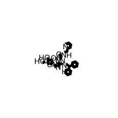 O=C(NCCc1ccccn1)c1nc(NCC(c2ccccc2)c2ccccc2)c2ncn([C@@H]3O[C@H](CO)C(O)[C@H]3O)c2n1